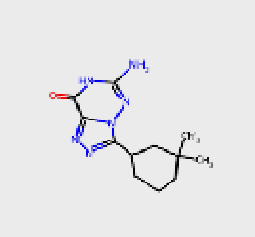 CC1(C)CCCC(c2nnc3c(=O)[nH]c(N)nn23)C1